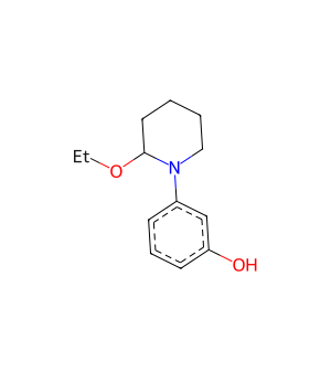 CCOC1CCCCN1c1cccc(O)c1